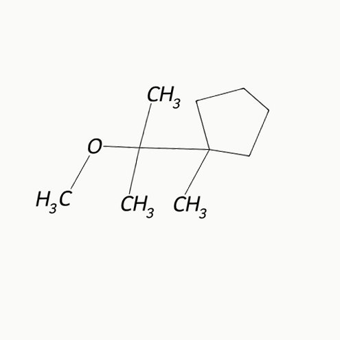 COC(C)(C)C1(C)CCCC1